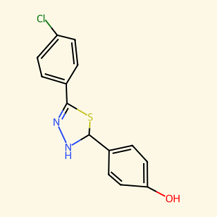 Oc1ccc(C2NN=C(c3ccc(Cl)cc3)S2)cc1